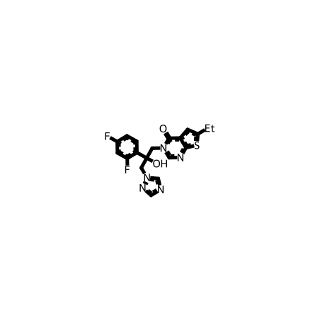 CCc1cc2c(=O)n(CC(O)(Cn3cncn3)c3ccc(F)cc3F)cnc2s1